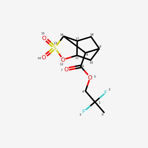 CC(F)(F)COC(=O)C1C2CC3OS(=O)(=O)C1C3C2